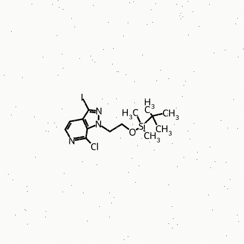 CC(C)(C)[Si](C)(C)OCCn1nc(I)c2ccnc(Cl)c21